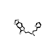 CN(CCCN1Cc2cc3c(cc2C1=O)OCO3)CCc1ccccn1